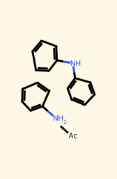 CC(C)=O.Nc1ccccc1.c1ccc(Nc2ccccc2)cc1